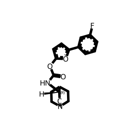 O=C(N[C@H]1CN2CCC1CC2)Oc1ccc(-c2cccc(F)c2)o1